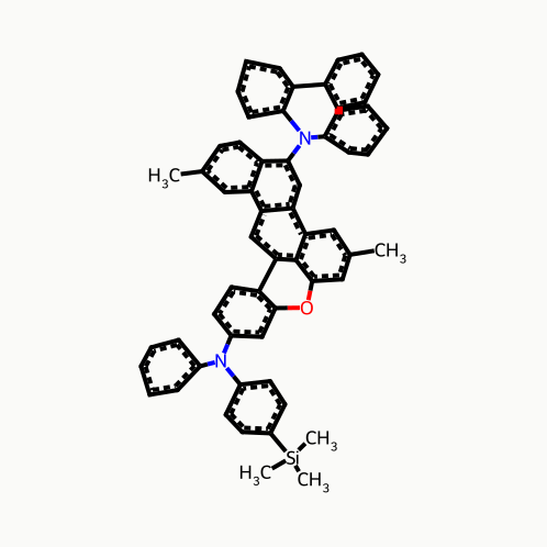 Cc1ccc2c(N(c3ccccc3)c3ccccc3-c3ccccc3)cc3c4cc(C)cc5c4c(cc3c2c1)-c1ccc(N(c2ccccc2)c2ccc([Si](C)(C)C)cc2)cc1O5